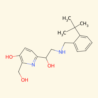 CC(C)(C)c1ccccc1CNCC(O)c1ccc(O)c(CO)n1